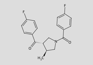 C[C@@H]1CN(C(=O)c2ccc(F)cc2)C[C@H]1C(=O)c1ccc(F)cc1